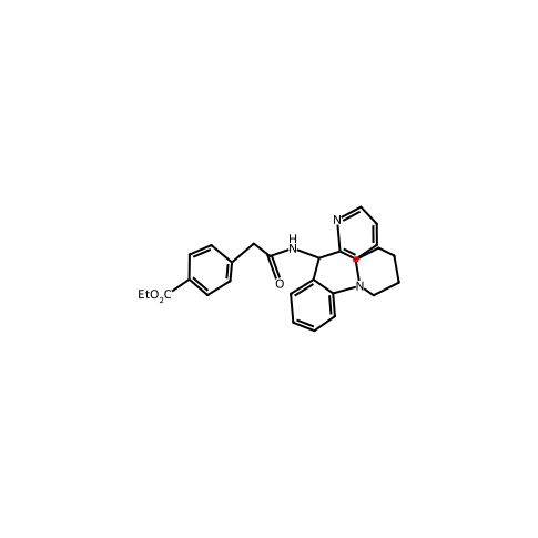 CCOC(=O)c1ccc(CC(=O)NC(c2ccccn2)c2ccccc2N2CCCCC2)cc1